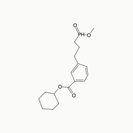 CO[PH](=O)CCCc1cccc(C(=O)OC2CCCCC2)c1